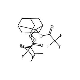 C=C(C)C(=O)OC12CC3CC(C1)C(OC(=O)C(F)(F)F)(OC(=O)C(F)(F)F)C(C3)C2